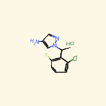 CC(c1c(F)cccc1Cl)n1cc(N)cn1.Cl